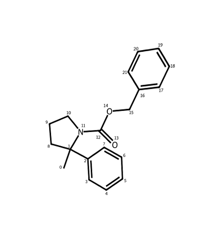 CC1(c2ccccc2)CCCN1C(=O)OCc1ccccc1